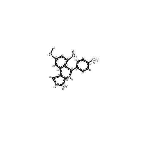 COc1cc(OC)c2c(-c3ccc(O)cc3)nc3[nH]ncc3c2c1